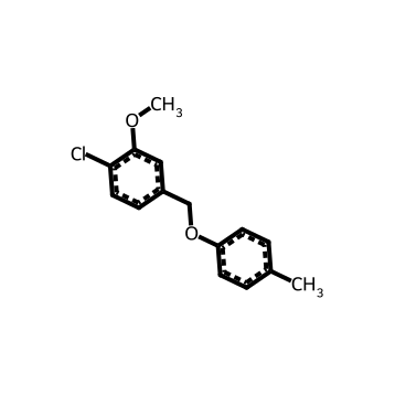 COc1cc(COc2ccc(C)cc2)ccc1Cl